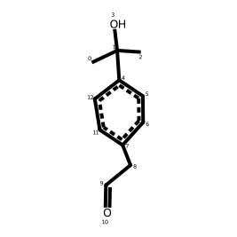 CC(C)(O)c1ccc(CC=O)cc1